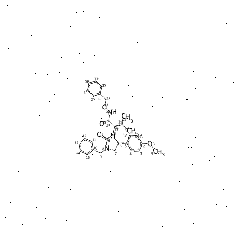 COc1ccc(C2CN(Cc3ccccc3)C(=O)N2C(C(=O)NOCc2ccccc2)C(C)C)cc1